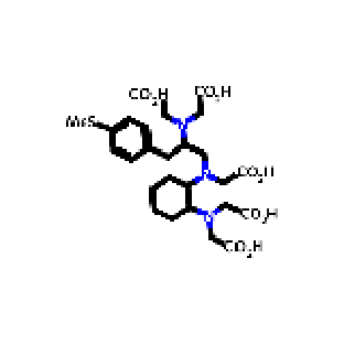 CSc1ccc(CC(CN(CC(=O)O)C2CCCCC2N(CC(=O)O)CC(=O)O)N(CC(=O)O)CC(=O)O)cc1